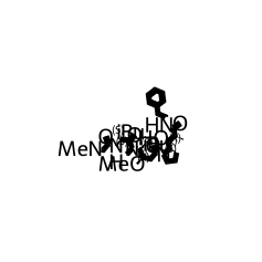 CC[C@H](C)[C@@H]([C@@H](CC(=O)N1CCC[C@H]1[C@H](O)[C@@H](C)C(=O)NCCc1ccccc1)OC)N(C)C(=O)[C@@H](NC(=O)CNC)[C@@H](C)CC